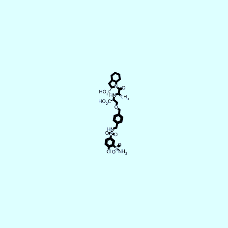 CC(N[C@@H](COCc1ccc(CNS(=O)(=O)c2ccc(Cl)c(S(N)(=O)=O)c2)cc1)C(=O)O)C(=O)N1C2CCCCC2C[C@H]1C(=O)O